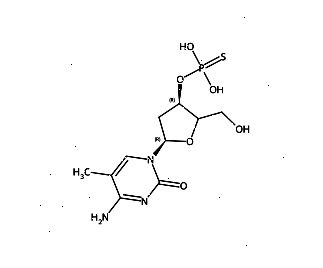 Cc1cn([C@H]2C[C@@H](OP(O)(O)=S)C(CO)O2)c(=O)nc1N